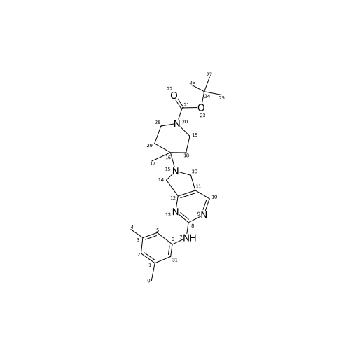 Cc1cc(C)cc(Nc2ncc3c(n2)CN(C2(C)CCN(C(=O)OC(C)(C)C)CC2)C3)c1